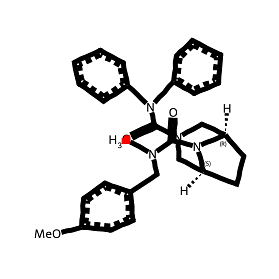 COc1ccc(CN(C)C(=O)N2[C@@H]3CC[C@H]2CN(C(=O)N(c2ccccc2)c2ccccc2)C3)cc1